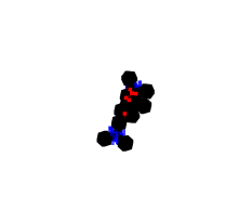 c1ccc(-c2nc(-c3ccccc3)nc(-c3ccc(-c4ccc5c(c4)C4(c6cc(-c7nc(-c8ccccc8)nc(-c8ccccc8)n7)ccc6-5)c5ccccc5-c5c4c4c6ccccc6ccc4c4ccccc54)cc3)n2)cc1